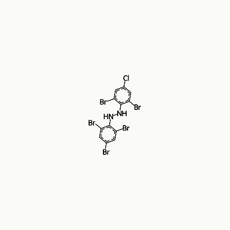 Clc1cc(Br)c(NNc2c(Br)cc(Br)cc2Br)c(Br)c1